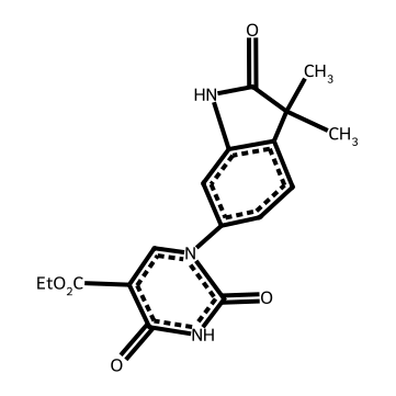 CCOC(=O)c1cn(-c2ccc3c(c2)NC(=O)C3(C)C)c(=O)[nH]c1=O